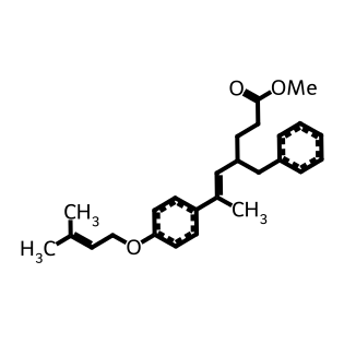 COC(=O)CCC(C=C(C)c1ccc(OCC=C(C)C)cc1)Cc1ccccc1